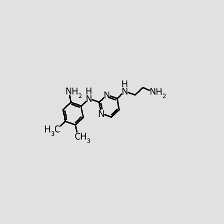 Cc1cc(N)c(Nc2nccc(NCCN)n2)cc1C